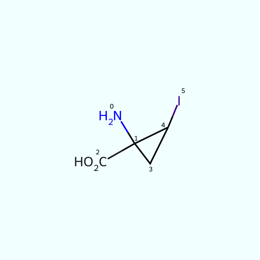 NC1(C(=O)O)CC1I